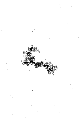 COC1C(COP(=O)(O)OP(=O)(O)OP(=O)(O)OCC2OC(n3cnc4c(=O)[nH]c(N)nc43)C(OC)C2OP(=O)(O)OCC2OC(n3cnc4c(=O)[nH]c(N)nc43)C(O)C2O)OC(n2c[n+](C)c3c(=O)[nH]c(N)nc32)C1O